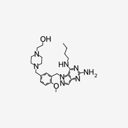 CCCCNc1nc(N)nc2cnn(Cc3cc(CN4CCN(CCO)CC4)ccc3OC)c12